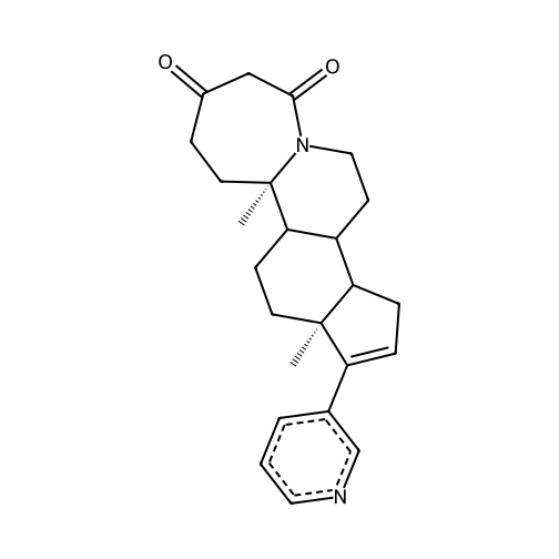 C[C@]12CCC3C(CCN4C(=O)CC(=O)CC[C@]34C)C1CC=C2c1cccnc1